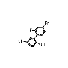 Oc1ccc(Cl)cc1-c1ccc(Br)cc1F